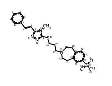 Cn1c(/C=C/c2ccccc2)nnc1SCCCN1CCc2ccc(S(C)(=O)=O)cc2CC1